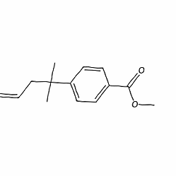 C=CCC(C)(C)c1ccc(C(=O)OC)cc1